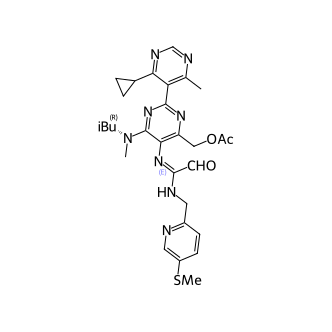 CC[C@@H](C)N(C)c1nc(-c2c(C)ncnc2C2CC2)nc(COC(C)=O)c1/N=C(\C=O)NCc1ccc(SC)cn1